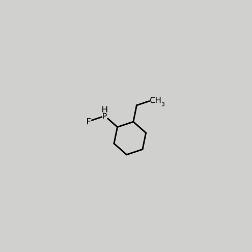 CCC1CCCCC1PF